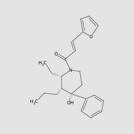 CCC[C@@H]1[C@H](CC)N(C(=O)/C=C/c2ccco2)CC[C@@]1(O)c1ccccc1